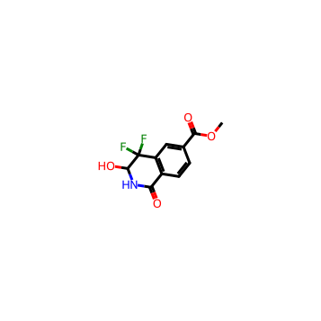 COC(=O)c1ccc2c(c1)C(F)(F)C(O)NC2=O